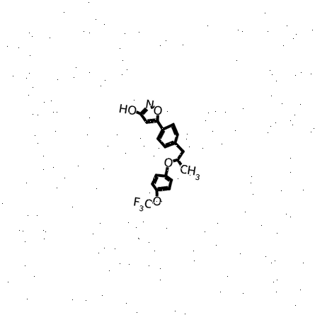 CC(Cc1ccc(-c2cc(O)no2)cc1)Oc1ccc(OC(F)(F)F)cc1